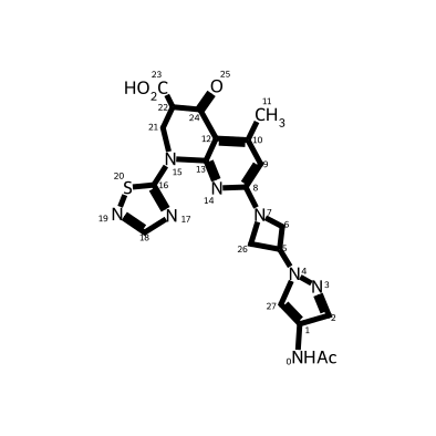 CC(=O)Nc1cnn(C2CN(c3cc(C)c4c(n3)N(c3ncns3)CC(C(=O)O)C4=O)C2)c1